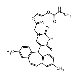 CNC(=O)Oc1coc(Cn2cc(C3c4ccc(C)cc4C=Cc4cc(C)ccc43)c(=S)[nH]c2=O)n1